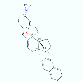 C[C@]12CC=C3C=C4CC[C@H](N5CC5)C[C@]45CC[C@]3(O5)[C@@H]1CC[C@@H]2c1ccc2ccccc2c1